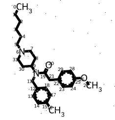 CCCCCCN1CCC(N(Cc2ccc(C)cc2)C(=O)Cc2ccc(OC)cc2)CC1